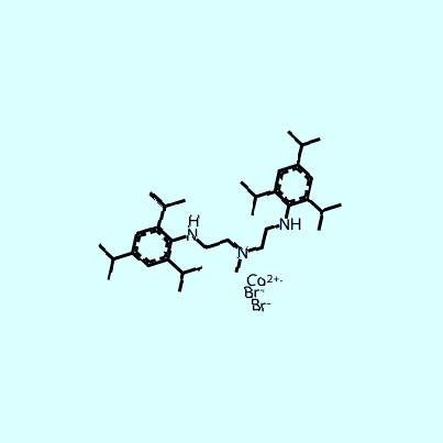 CC(C)c1cc(C(C)C)c(NCCN(C)CCNc2c(C(C)C)cc(C(C)C)cc2C(C)C)c(C(C)C)c1.[Br-].[Br-].[Co+2]